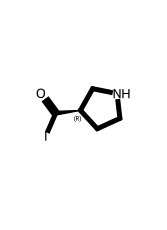 O=C(I)[C@@H]1CCNC1